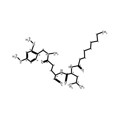 CCCCCCCCC(=O)NC(CC(C)C)C(=O)NC(C=O)CCC(=O)N(C)Cc1ccc(OC)cc1OC